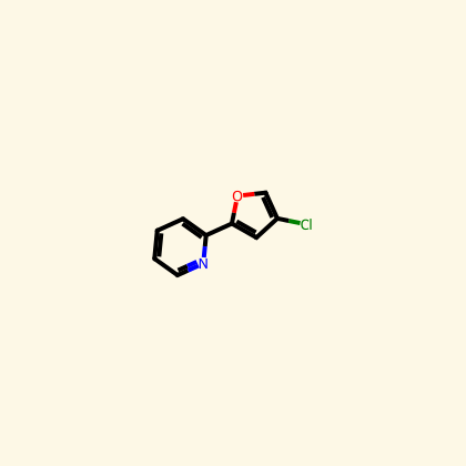 Clc1coc(-c2ccccn2)c1